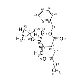 COC(=O)C[C@@H](C(=O)OCc1ccccc1)N(C)C(=O)OC(C)(C)C